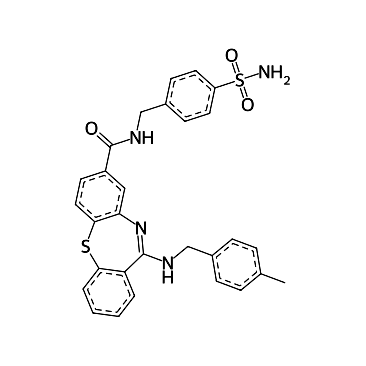 Cc1ccc(CNC2=Nc3cc(C(=O)NCc4ccc(S(N)(=O)=O)cc4)ccc3Sc3ccccc32)cc1